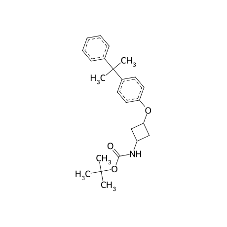 CC(C)(C)OC(=O)NC1CC(Oc2ccc(C(C)(C)c3ccccc3)cc2)C1